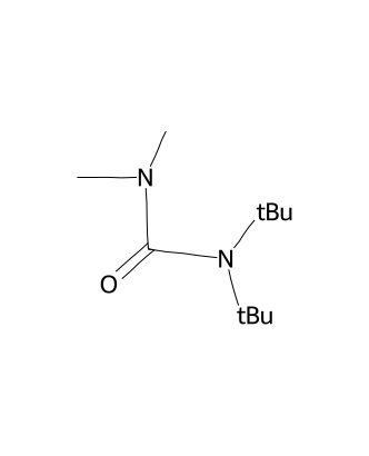 CN(C)C(=O)N(C(C)(C)C)C(C)(C)C